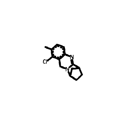 Cc1ccc2c(c1Cl)CN1C(=N2)C2CCC1C2